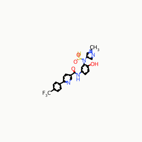 Cn1cc(N(c2cc(NC(=O)c3ccc(-c4ccc(C(F)(F)F)cc4)nc3)ccc2O)[SH](=O)=O)cn1